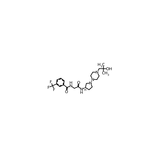 CC(C)(O)CN1CCN(N2CC[C@@H](NC(=O)CNC(=O)c3cccc(C(F)(F)F)c3)C2)CC1